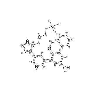 C[Si](C)(C)CCOCn1nnnc1-c1cncc(-c2cc(O)ccc2OCc2ccccc2)c1